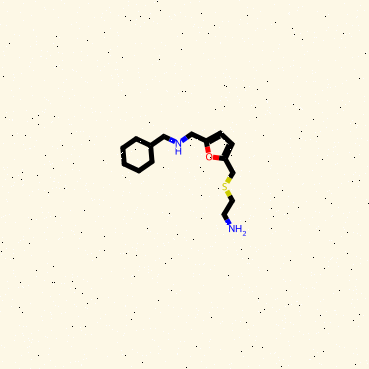 NCCSCc1ccc(CNCC2CCCCC2)o1